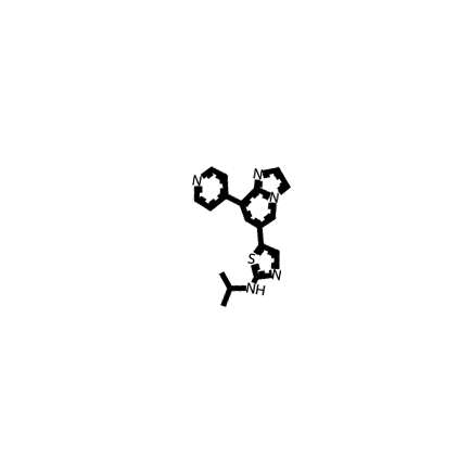 CC(C)Nc1ncc(-c2cc(-c3ccncc3)c3nccn3c2)s1